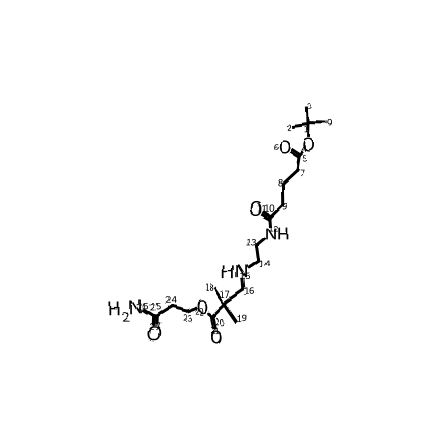 CC(C)(C)OC(=O)CCCC(=O)NCCNCC(C)(C)C(=O)OCCC(N)=O